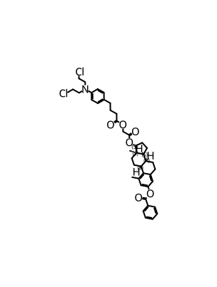 Cc1cc(OC(=O)c2ccccc2)cc2c1[C@H]1CC[C@]3(C)[C@@H](OC(=O)COC(=O)CCCc4ccc(N(CCCl)CCCl)cc4)CC[C@H]3[C@@H]1CC2